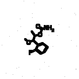 COC(c1ccccc1F)C(C)OC(N)=O